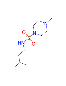 CC(C)CCNS(=O)(=O)N1CCN(C)CC1